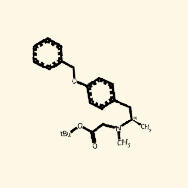 C[C@H](Cc1ccc(OCc2ccccc2)cc1)N(C)CC(=O)OC(C)(C)C